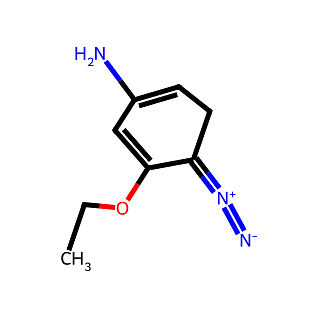 CCOC1=CC(N)=CCC1=[N+]=[N-]